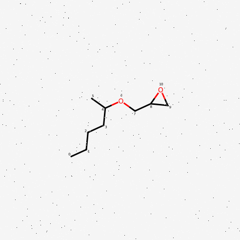 CCCCC(C)OCC1CO1